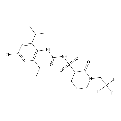 CC(C)c1cc(Cl)cc(C(C)C)c1NC(=O)NS(=O)(=O)C1CCCN(CC(F)(F)F)C1=O